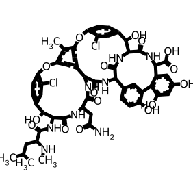 CNC(CC(C)C)C(=O)NC1C(=O)NC(CC(N)=O)C(=O)NC2C(=O)NC3C(=O)NC(C(=O)NC(C(=O)O)c4cc(O)cc(O)c4-c4cc3ccc4O)C(O)c3ccc(c(Cl)c3)Oc3cc2cc(c3C)Oc2ccc(cc2Cl)C1O